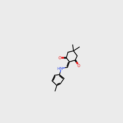 Cc1ccc(NC=C2C(=O)CC(C)(C)CC2=O)cc1